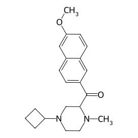 COc1ccc2cc(C(=O)C3CN(C4CCC4)CCN3C)ccc2c1